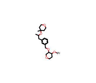 CC(C)OC1CCOCC1OCc1cccc(CC(C)OC2(C)CCOCC2)c1